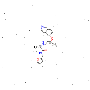 C[C@H](CCN[C@@H](C)C(=O)NCc1ccco1)Oc1ccc2cnccc2c1